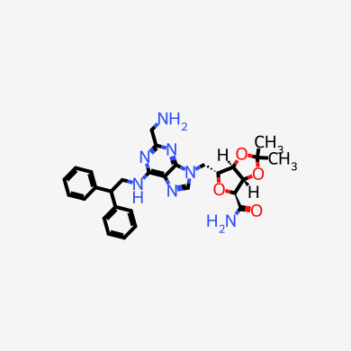 CC1(C)O[C@H]2[C@H](O1)[C@@H](Cn1cnc3c(NCC(c4ccccc4)c4ccccc4)nc(CN)nc31)O[C@@H]2C(N)=O